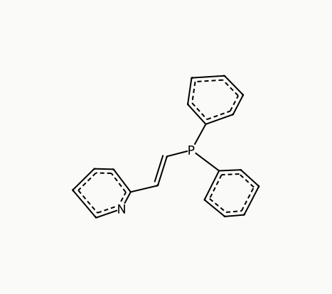 C(=C\P(c1ccccc1)c1ccccc1)/c1ccccn1